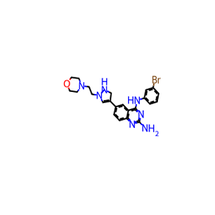 Nc1nc(Nc2cccc(Br)c2)c2cc(C3=CN(CCN4CCOCC4)NC3)ccc2n1